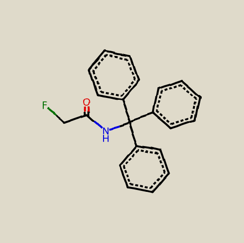 O=C(CF)NC(c1ccccc1)(c1ccccc1)c1ccccc1